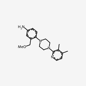 COCc1cc(N)ccc1N1CCN(c2nccc(C)c2C)CC1